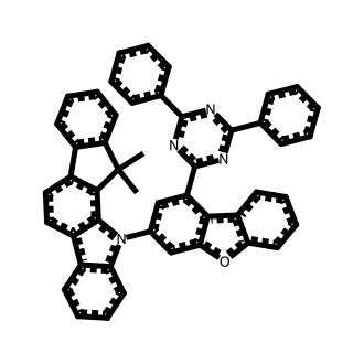 CC1(C)c2ccccc2-c2ccc3c4ccccc4n(-c4cc(-c5nc(-c6ccccc6)nc(-c6ccccc6)n5)c5c(c4)oc4ccccc45)c3c21